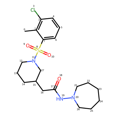 Cc1c(Cl)cccc1S(=O)(=O)N1CCCC(CC(=O)NN2CCCCCC2)C1